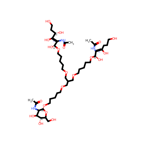 CC(=O)N/C(=C(/O)CCCO)[C@@H](O)OCCCCCOCC(COCCCCCO[C@@H]1OC(CO)[C@H](O)C(O)C1NC(C)=O)COCCCCCO[C@H](O)/C(NC(C)=O)=C(\O)[C@@H](O)CCO